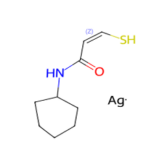 O=C(/C=C\S)NC1CCCCC1.[Ag]